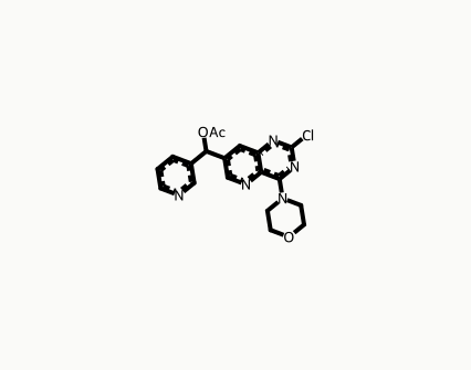 CC(=O)OC(c1cccnc1)c1cnc2c(N3CCOCC3)nc(Cl)nc2c1